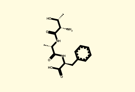 C[C@H](NC(=O)[C@@H](N)[C@@H](C)O)C(=O)N[C@@H](Cc1ccccc1)C(=O)O